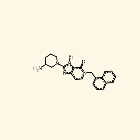 CCn1c(N2CCCC(N)C2)nc2ccn(Cc3cccc4ccccc34)c(=O)c21